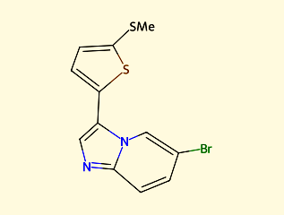 CSc1ccc(-c2cnc3ccc(Br)cn23)s1